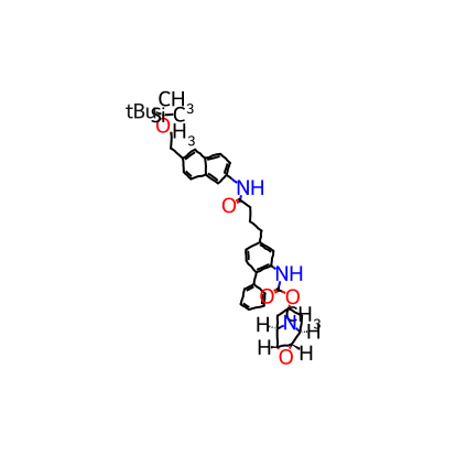 CN1[C@@H]2C[C@@H](OC(=O)Nc3cc(CCCC(=O)Nc4ccc5cc(CCO[Si](C)(C)C(C)(C)C)ccc5c4)ccc3-c3ccccc3)C[C@H]1[C@@H]1O[C@@H]12